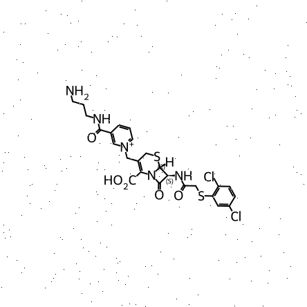 NCCCNC(=O)c1ccc[n+](CC2=C(C(=O)O)N3C(=O)[C@H](NC(=O)CSc4cc(Cl)ccc4Cl)[C@H]3SC2)c1